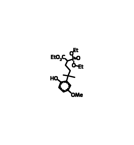 CCOC(=O)C(CCC(C)(C)c1cc(OC)ccc1O)P(=O)(OCC)OCC